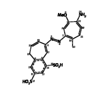 COC1=CC(N=NC2=Cc3c(cc(S(=O)(=O)O)cc3S(=O)(=O)O)CC=C2)=C(C)C=C=C1N